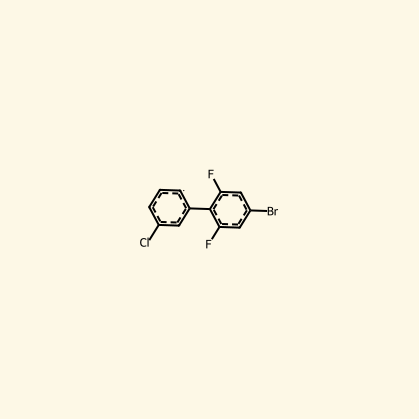 Fc1cc(Br)cc(F)c1-c1[c]ccc(Cl)c1